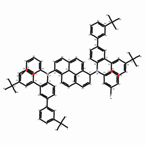 CC(C)(C)c1cccc(-c2ccc(N(C3=C4C=CC5=C6C(=CC=C(C=C3)C46)C(N(c3cccc(F)c3)c3ccc(-c4cccc(C(C)(C)C)c4)cc3-c3cccc(C(C)(C)C)c3)C=C5)c3cccc(F)c3)c(-c3cccc(C(C)(C)C)c3)c2)c1